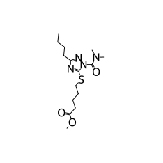 CCCCc1nc(SCCCCC(=O)OC)n(C(=O)N(C)C)n1